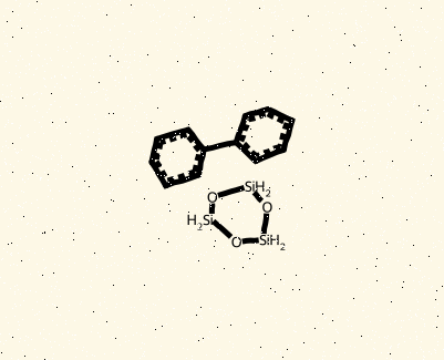 O1[SiH2]O[SiH2]O[SiH2]1.c1ccc(-c2ccccc2)cc1